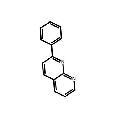 [c]1ccc(-c2ccc3cccnc3n2)cc1